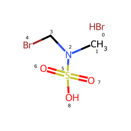 Br.CN(CBr)S(=O)(=O)O